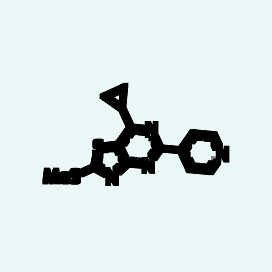 CSc1nc2nc(-c3ccncc3)nc(C3CC3)c2s1